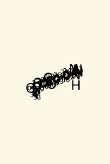 O=C1COC2(CCN(S(=O)(=O)c3ccc(-c4ccc(-c5nnn[nH]5)cc4)cc3)CC2)CN1C1CC1